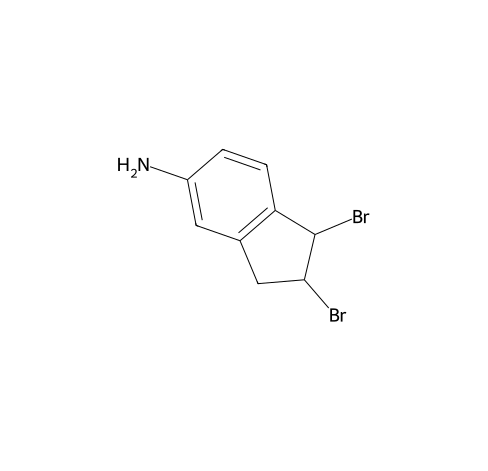 Nc1ccc2c(c1)CC(Br)C2Br